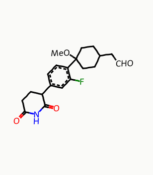 COC1(c2ccc(C3CCC(=O)NC3=O)cc2F)CCC(CC=O)CC1